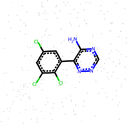 Nc1ncnnc1-c1cc(Cl)cc(Cl)c1Cl